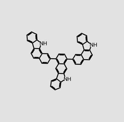 c1ccc2c(c1)[nH]c1cc3c(-c4ccc5ccc6[nH]c7ccccc7c6c5c4)ccc(-c4ccc5ccc6c7ccccc7[nH]c6c5c4)c3cc12